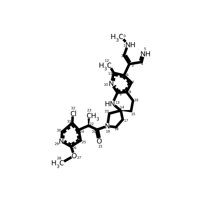 CN/C=C(\C=N)c1cc2c(nc1C)N[C@]1(CC2)CCN(C(=O)[C@H](C)c2cc(OC)ncc2Cl)C1